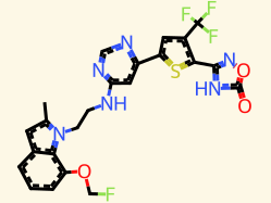 Cc1cc2cccc(OCF)c2n1CCNc1cc(-c2cc(C(F)(F)F)c(-c3noc(=O)[nH]3)s2)ncn1